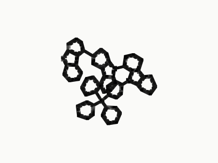 c1ccc([Si](c2ccccc2)(c2ccccc2)c2ccc(-n3c4ccccc4c4cccc(-n5c6ccccc6c6cc(-c7cccc8sc9ccccc9c78)ccc65)c43)cc2)cc1